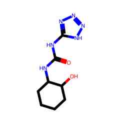 O=C(Nc1nnn[nH]1)NC1CCCCC1O